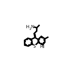 Cc1ccc2c(c1)C(=CCC(C)N)c1ccccc1S2.I